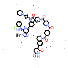 CC(C)n1cnc2cc(-c3ccc4c(c3)N([C@H]3C[C@@H](N5CCCCC5)C3)C(=O)C43CCN(C(=O)C4CCN(C(=O)[C@H]5CC[C@H](C(=O)N6CCCc7cc(C8CCC(=O)NC8=O)ccc76)CC5)CC4)CC3)nc(Nc3ccccc3F)c21